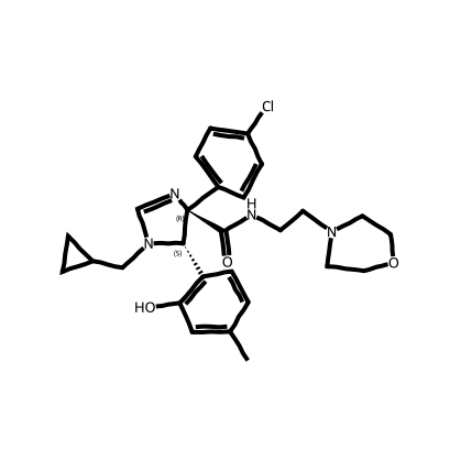 Cc1ccc([C@@H]2N(CC3CC3)C=N[C@]2(C(=O)NCCN2CCOCC2)c2ccc(Cl)cc2)c(O)c1